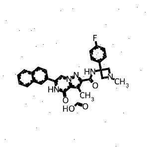 Cc1c(C(=O)NC2(c3ccc(F)cc3)CN(C)C2)nn2cc(-c3ccc4ccccc4c3)[nH]c(=O)c12.O=CO